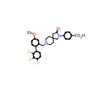 CCOc1ccc(-c2ccc(F)c(F)c2F)c(CN2CCC3(CC2)CC(=O)N(c2ccc(C(=O)O)cc2)C3)c1